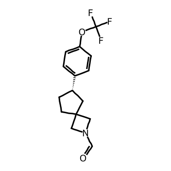 O=CN1CC2(CC[C@H](c3ccc(OC(F)(F)F)cc3)C2)C1